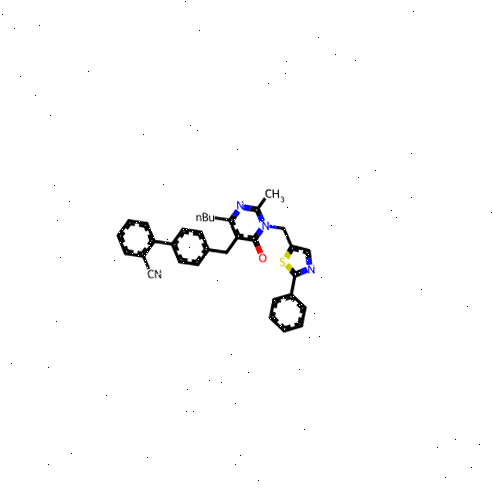 CCCCc1nc(C)n(Cc2cnc(-c3ccccc3)s2)c(=O)c1Cc1ccc(-c2ccccc2C#N)cc1